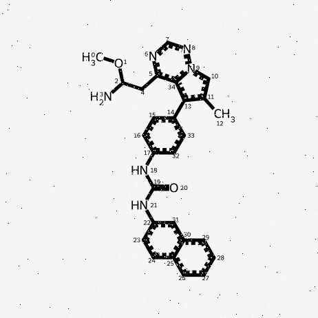 COC(N)Cc1ncnn2cc(C)c(-c3ccc(NC(=O)Nc4ccc5ccccc5c4)cc3)c12